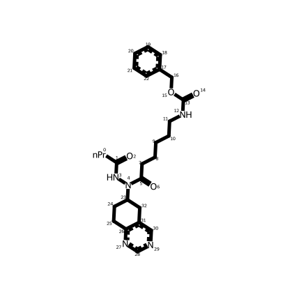 CCCC(=O)NN(C(=O)CCCCCNC(=O)OCc1ccccc1)C1CCc2ncncc2C1